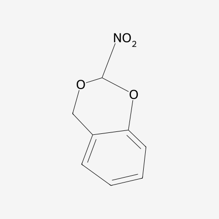 O=[N+]([O-])C1OCc2ccccc2O1